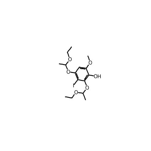 CCOC(C)Oc1cc(OC)c(O)c(OC(C)OCC)c1I